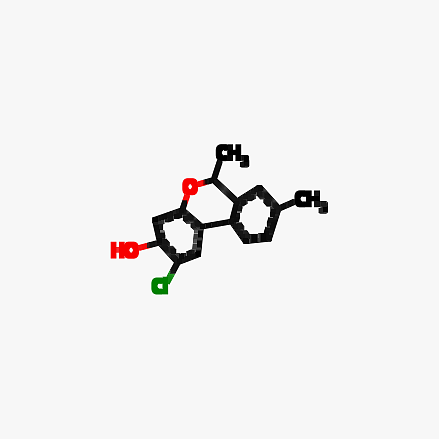 Cc1ccc2c(c1)C(C)Oc1cc(O)c(Cl)cc1-2